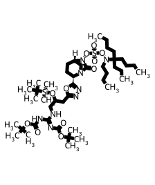 CCCCN(OS(=O)(=O)ON1C(=O)N2C[C@@H]1CC[C@H]2c1nnc(CC(CN/C(=N\C(=O)OC(C)(C)C)NC(=O)OC(C)(C)C)O[Si](C)(C)C(C)(C)C)o1)C(CCC)(CCCC)CCCC